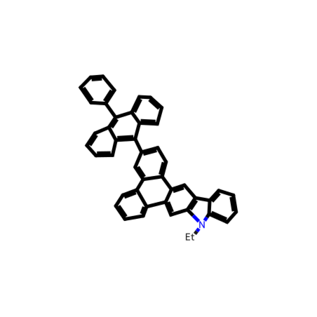 CCn1c2ccccc2c2cc3c4ccc(-c5c6ccccc6c(-c6ccccc6)c6ccccc56)cc4c4ccccc4c3cc21